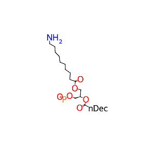 CCCCCCCCCCC(=O)O[C@@H](COP=O)COC(=O)CCCCCCCCCN